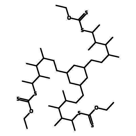 CCOC(=S)SC(C)C(C)C(C)C(C)CCC1CC(CCC(C)C(C)C(C)C(C)SC(=S)OCC)CC(CCC(C)C(C)C(C)C(C)SC(=S)OCC)C1